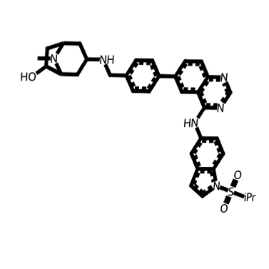 CC(C)S(=O)(=O)n1ccc2cc(Nc3ncnc4ccc(-c5ccc(CNC6CC7CC(O)C(C6)N7C)cc5)cc34)ccc21